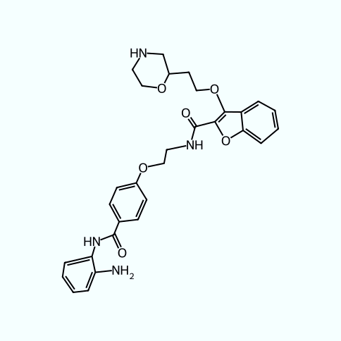 Nc1ccccc1NC(=O)c1ccc(OCCNC(=O)c2oc3ccccc3c2OCCC2CNCCO2)cc1